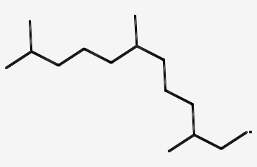 [CH2]CC(C)CCCC(C)CCCC(C)C